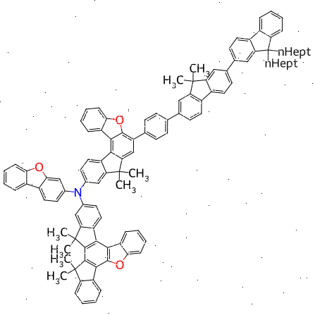 CCCCCCCC1(CCCCCCC)c2ccccc2-c2ccc(-c3ccc4c(c3)C(C)(C)c3cc(-c5ccc(-c6cc7c(c8c6oc6ccccc68)-c6ccc(N(c8ccc9c(c8)C(C)(C)c8c%10c(c%11oc%12ccccc%12c%11c8-9)-c8ccccc8C%10(C)C)c8ccc9c(c8)oc8ccccc89)cc6C7(C)C)cc5)ccc3-4)cc21